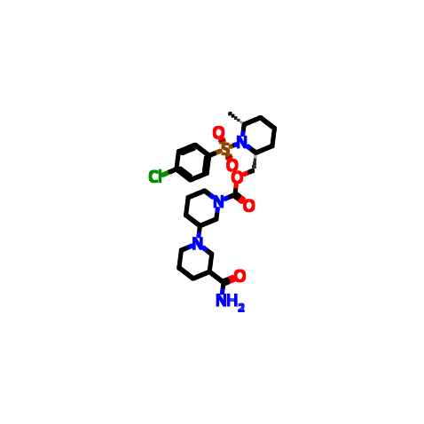 C[C@@H]1CCC[C@H](COC(=O)N2CCCC(N3CCCC(C(N)=O)C3)C2)N1S(=O)(=O)c1ccc(Cl)cc1